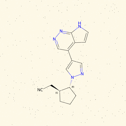 N#CC[C@@H]1CCC[C@H]1n1cc(-c2cnnc3[nH]ccc23)cn1